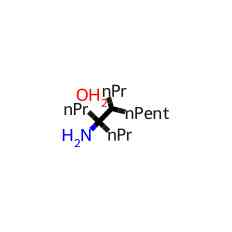 CCCCCC(CCC)C(N)(CCC)CCC.O